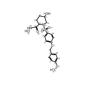 COc1ccc(COc2ccc(S(=O)(=O)N3CC(O)CCC3C(=O)NO)cc2)cc1